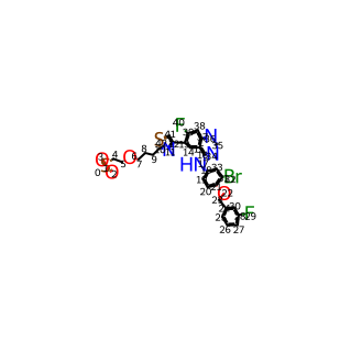 CS(=O)(=O)CCOCCCc1nc(-c2cc3c(Nc4ccc(OCc5cccc(F)c5)c(Br)c4)ncnc3cc2F)cs1